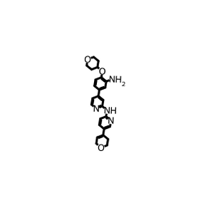 Nc1cc(-c2ccnc(Nc3ccc(C4=CCOCC4)cn3)c2)ccc1OC1CCOCC1